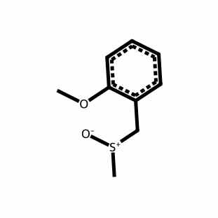 COc1ccccc1C[S+](C)[O-]